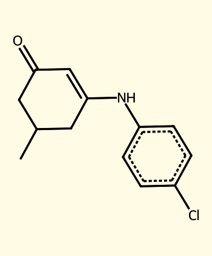 CC1CC(=O)C=C(Nc2ccc(Cl)cc2)C1